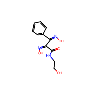 O=C(NCCO)C(=NO)C(=NO)c1ccccc1